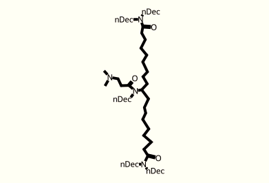 CCCCCCCCCCN(CCCCCCCCCC)C(=O)CCCCCCCCC(CCCCCCCCC(=O)N(CCCCCCCCCC)CCCCCCCCCC)N(CCCCCCCCCC)C(=O)CCN(C)C